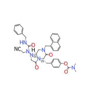 CN(C)C(=O)Oc1ccc(C[C@H]2C(=O)N(Cc3cccc4ccccc34)C[C@H]3N2C(=O)CN3N(CC#N)C(=O)NCc2ccccc2)cc1